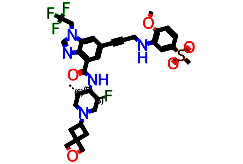 COc1ccc(S(C)(=O)=O)cc1NCC#Cc1cc(C(=O)N[C@@H]2[C@@H](C)CN(C3CC4(COC4)C3)C[C@@H]2F)c2ncn(CC(F)(F)F)c2c1